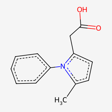 Cc1ccc(CC(=O)O)n1-c1ccccc1